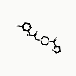 O=C(CN1CCN(C(=O)c2ccco2)CC1)Nc1cccc(Br)c1